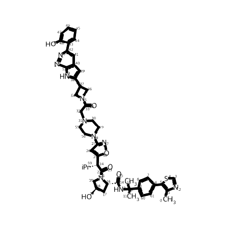 Cc1ncsc1-c1ccc(C(C)(C)NC(=O)[C@@H]2C[C@@H](O)CN2C(=O)[C@@H](c2cc(N3CCN(CC(=O)N4CC(c5cc6cc(-c7ccccc7O)nnc6[nH]5)C4)CC3)no2)C(C)C)cc1